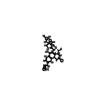 CCC1=CC(=O)CC/C1=C(/[C@@H](C)[C@@H]1CC[C@](COC)(OC)C1(C)C)[C@H](C)c1ccc(/C=N/O)cc1